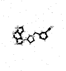 N#Cc1cccc(CN2CC[C@@H](n3cnc4cnc5[nH]ccc5c43)C2)c1